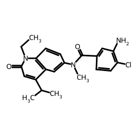 CCn1c(=O)cc(C(C)C)c2cc(N(C)C(=O)c3ccc(Cl)c(N)c3)ccc21